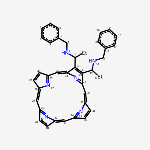 CCC(NCc1ccccc1)C1=C(C(CC)NCc2ccccc2)C2=NC1=CC1=NC(=CC3=NC(=CC4=NC(=C2)C=C4)C=C3)C=C1